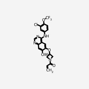 C=CC(=O)N1CC(Oc2cc3c(Nc4ccc(OC(F)(F)F)c(Cl)c4)ncnc3cc2OC)C1